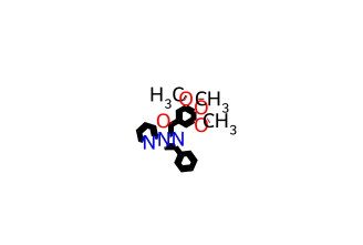 COc1cc(C(=O)c2nc(-c3ccccc3)cn2-c2ccccn2)cc(OC)c1OC